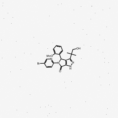 COc1ccccc1C1c2c(C(C)(C)CO)n[nH]c2C(=O)N1c1ccc(Br)cn1